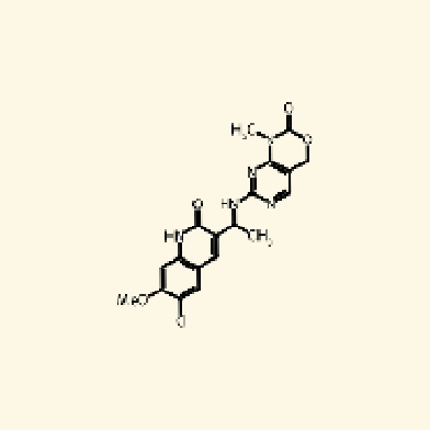 COc1cc2[nH]c(=O)c(C(C)Nc3ncc4c(n3)N(C)C(=O)OC4)cc2cc1Cl